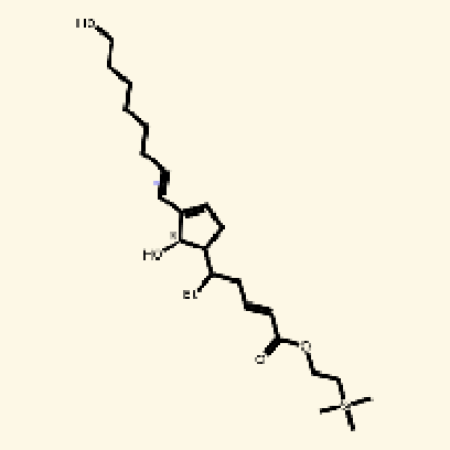 CCC(CC=CC(=O)OCC[Si](C)(C)C)C1CC=C(/C=C/CCCCCCO)[C@@H]1O